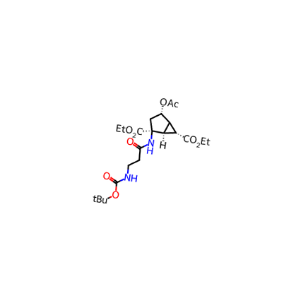 CCOC(=O)[C@H]1C2[C@@H](OC(C)=O)C[C@@](NC(=O)CCNC(=O)OC(C)(C)C)(C(=O)OCC)[C@@H]21